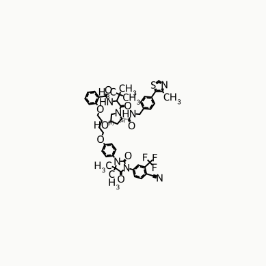 Cc1ncsc1-c1ccc(CNC(=O)[C@@H]2C[C@@H](O)CN2C(=O)C(NC(=O)c2ccccc2OCCCCOc2ccc(N3C(=O)N(c4ccc(C#N)c(C(F)(F)F)c4)C(=O)C3(C)C)cc2)C(C)(C)C)cc1